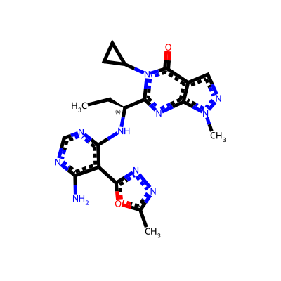 CC[C@H](Nc1ncnc(N)c1-c1nnc(C)o1)c1nc2c(cnn2C)c(=O)n1C1CC1